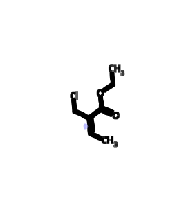 C/C=C(/CCl)C(=O)OCC